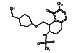 Cc1ccc2n(c1=O)C(COC1CCC(CO)CC1)C(NS(C)(=O)=O)CC2